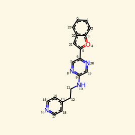 c1ccc2oc(-c3cnc(NCCc4ccncc4)cn3)cc2c1